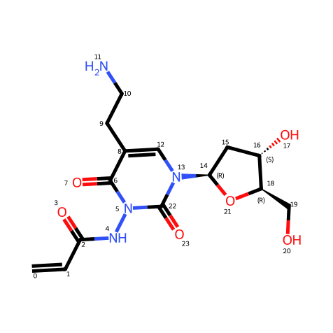 C=CC(=O)Nn1c(=O)c(CCN)cn([C@H]2C[C@H](O)[C@@H](CO)O2)c1=O